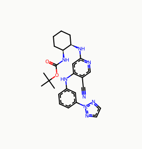 CC(C)(C)OC(=O)N[C@H]1CCCC[C@H]1Nc1cc(Nc2cccc(-n3nccn3)c2)c(C#N)cn1